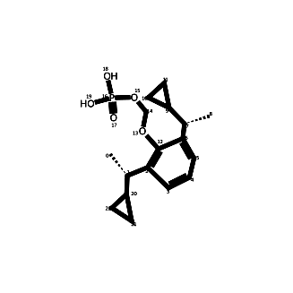 C[C@H](c1cccc([C@@H](C)C2CC2)c1OCOP(=O)(O)O)C1CC1